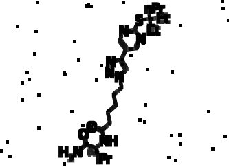 CCCC(CC)(CC)Sc1ncc(-c2cn(CCCCCC(=O)N[C@H](C(N)=O)C(C)C)nn2)cn1